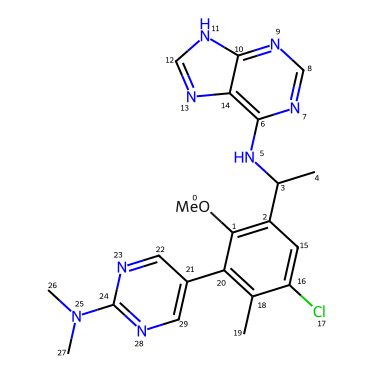 COc1c(C(C)Nc2ncnc3[nH]cnc23)cc(Cl)c(C)c1-c1cnc(N(C)C)nc1